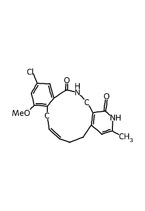 COc1cc(Cl)cc2c1CC=CCCc1cc(C)[nH]c(=O)c1CNC2=O